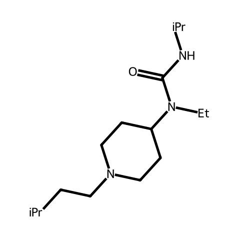 CCN(C(=O)NC(C)C)C1CCN(CCC(C)C)CC1